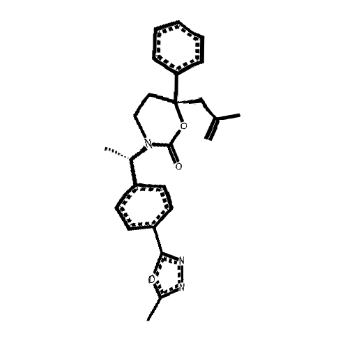 C=C(C)C[C@]1(c2ccccc2)CCN([C@@H](C)c2ccc(-c3nnc(C)o3)cc2)C(=O)O1